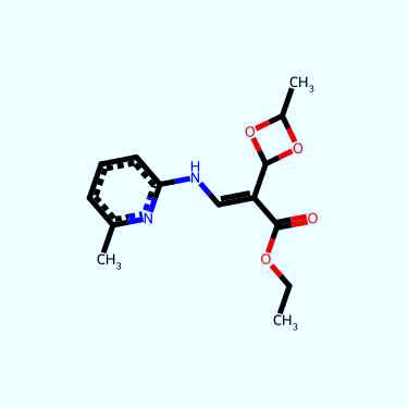 CCOC(=O)/C(=C/Nc1cccc(C)n1)C1OC(C)O1